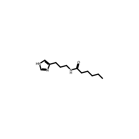 CCCCCC(=O)NCCCc1c[nH]cn1